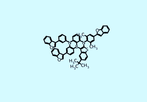 Cc1cc(-c2cc3ccccc3o2)cc(C)c1N1c2cccc3c2B(c2ccc(-c4coc5ccccc45)cc2N3c2cccc(-c3coc4ccccc34)c2)c2c1sc1ccc(C(C)(C)C)cc21